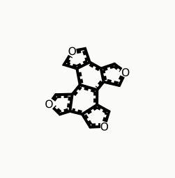 c1occ2c1c1cocc1c1c3cocc3c3cocc3c21